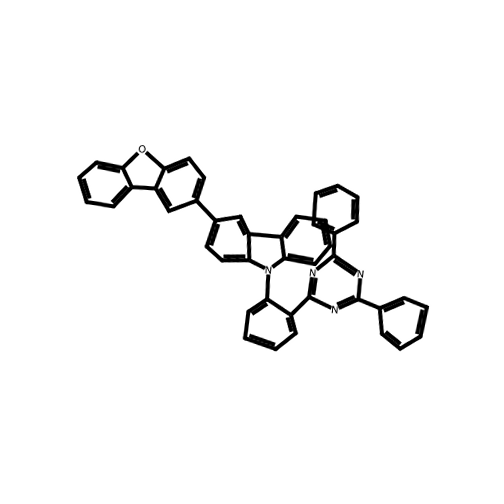 c1ccc(-c2nc(-c3ccccc3)nc(-c3ccccc3-n3c4ccccc4c4cc(-c5ccc6oc7ccccc7c6c5)ccc43)n2)cc1